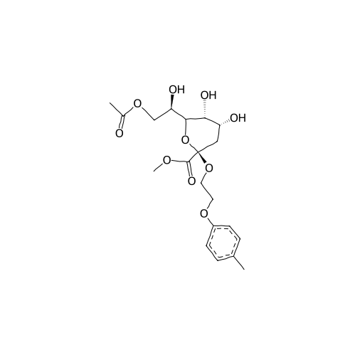 COC(=O)[C@@]1(OCCOc2ccc(C)cc2)C[C@@H](O)[C@@H](O)C([C@H](O)COC(C)=O)O1